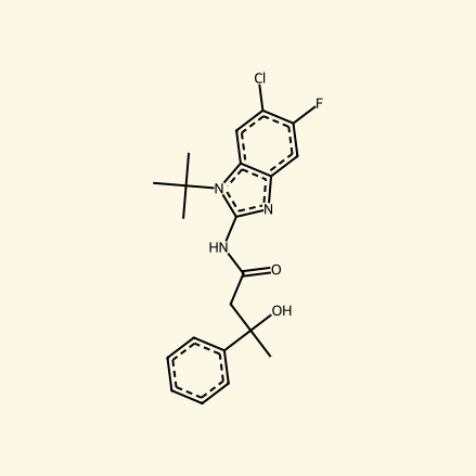 CC(O)(CC(=O)Nc1nc2cc(F)c(Cl)cc2n1C(C)(C)C)c1ccccc1